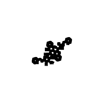 CC(C)[C@H](NC(=O)OCc1ccccn1)C(=O)N[C@@H](Cc1ccccc1)[C@@H](O)[C@H](O)[C@H](Cc1ccccc1)NC(=O)[C@@H](NC(=O)OCc1ccccn1)C(C)C